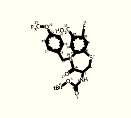 CC(C)(C)OC(=O)NC1CSc2cc(F)c(C(=O)O)cc2N(Cc2ccc(OC(F)(F)F)cc2)C1=O